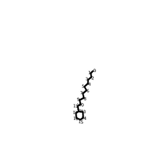 CCCCCCCCCCC[CH]C1CCCCC1